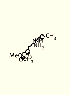 COC(=O)C(C)(C)Oc1ccc(CCC/C(N)=N/NCc2ccc(C)cc2)cc1